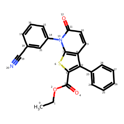 CCOC(=O)c1sc2c(ccc(=O)n2-c2cccc(C#N)c2)c1-c1ccccc1